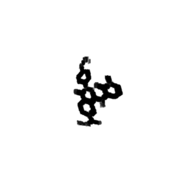 CNC(=O)N1CCc2c(c(Nc3cccn(C)c3=O)nn(-c3ccc(OC(F)(F)F)cc3)c2=O)C1